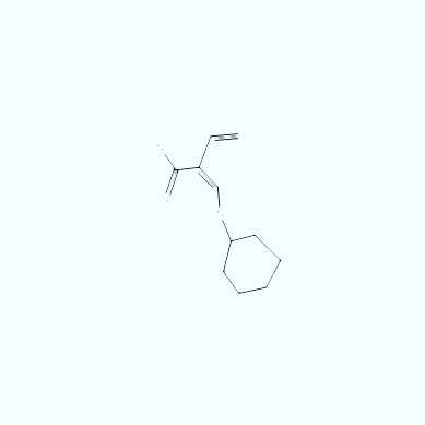 N=C(N)/C(C=O)=C\NC1CCCCC1